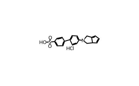 Cl.O=S(=O)(O)c1ccc(-c2ccc(N3CC4=CC=CC4C3)cc2)cc1